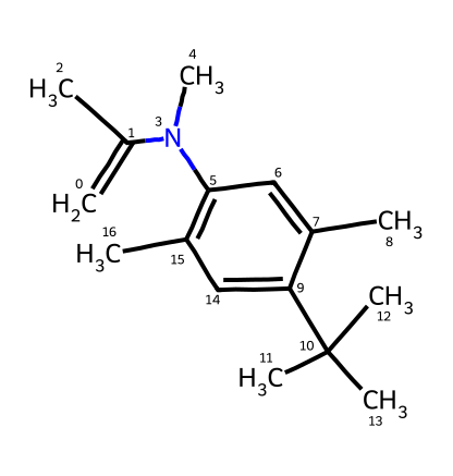 C=C(C)N(C)c1cc(C)c(C(C)(C)C)cc1C